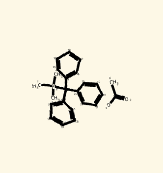 CC(=O)[O-].C[P+](C)(C)C(c1ccccc1)(c1ccccc1)c1ccccc1